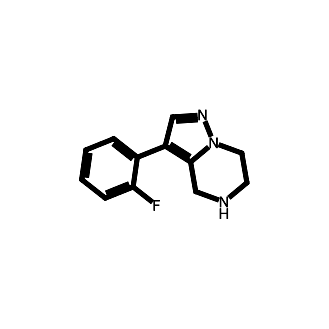 Fc1ccccc1-c1cnn2c1CNCC2